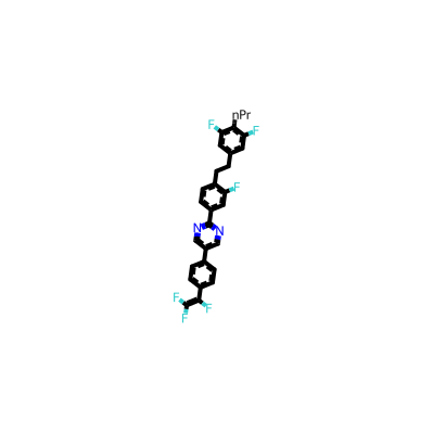 CCCc1c(F)cc(CCc2ccc(-c3ncc(-c4ccc(C(F)=C(F)F)cc4)cn3)cc2F)cc1F